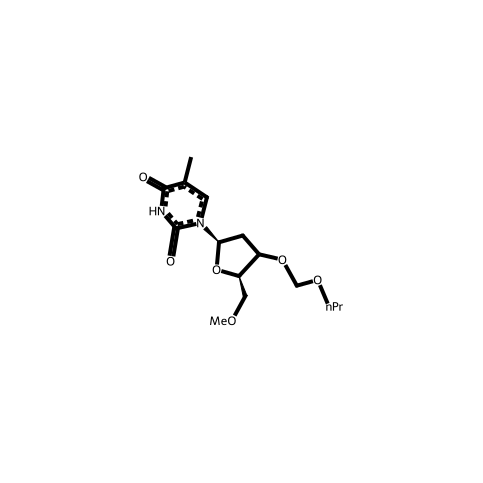 CCCOCOC1C[C@H](n2cc(C)c(=O)[nH]c2=O)O[C@@H]1COC